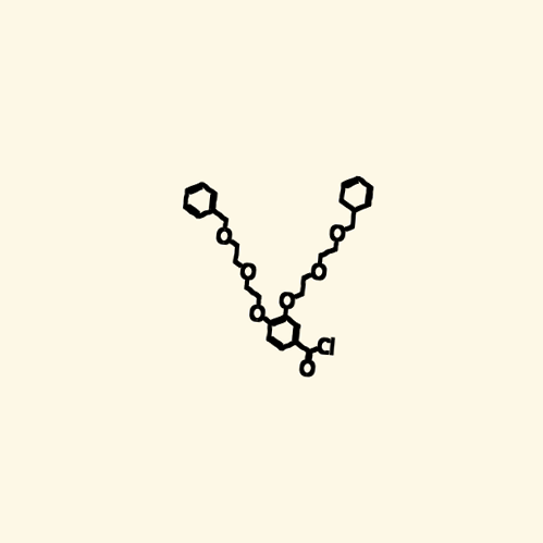 O=C(Cl)c1ccc(OCCOCCOCc2ccccc2)c(OCCOCCOCC2C=CC=CC2)c1